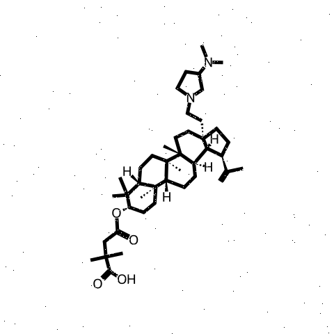 C=C(C)[C@@H]1CC[C@]2(CCN3CCC(N(C)C)C3)CC[C@]3(C)[C@H](CC[C@@H]4[C@@]5(C)CC[C@H](OC(=O)CC(C)(C)C(=O)O)C(C)(C)[C@@H]5CC[C@]43C)[C@@H]12